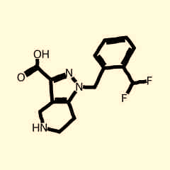 O=C(O)c1nn(Cc2ccccc2C(F)F)c2c1CNCC2